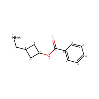 CC(=O)NCC1CC(OC(=O)c2ccccc2)C1